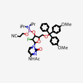 COc1ccc(C(OCC2OC(n3ccc(NC(C)=O)nc3=O)C(F)C2OP(OCCC#N)N(C(C)C)C(C)C)(c2ccccc2)c2ccc(OC)cc2)cc1